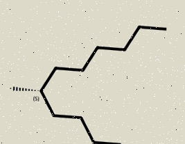 [CH2][C@@H](CCCC)CCCCCC